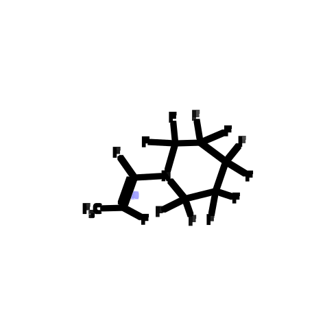 F/C(=C(/F)C(F)(F)F)N1C(F)(F)C(F)(F)C(F)(F)C(F)(F)C1(F)F